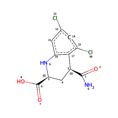 NC(=O)[C@H]1C[C@@H](C(=O)O)Nc2cc(Cl)cc(Cl)c21